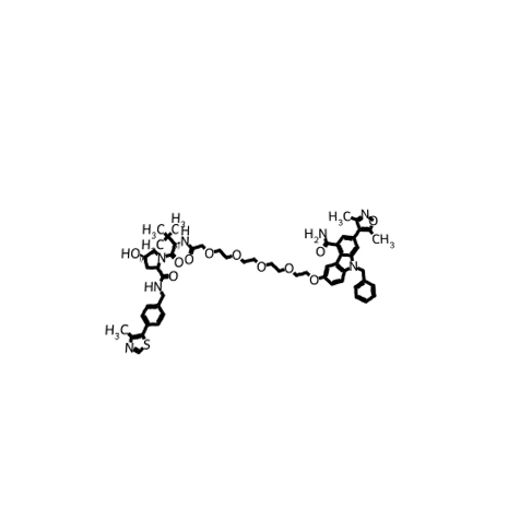 Cc1ncsc1-c1ccc(CNC(=O)C2C[C@@H](O)CN2C(=O)[C@@H](NC(=O)COCCOCCOCCOCCOc2ccc3c(c2)c2c(C(N)=O)cc(-c4c(C)noc4C)cc2n3Cc2ccccc2)C(C)(C)C)cc1